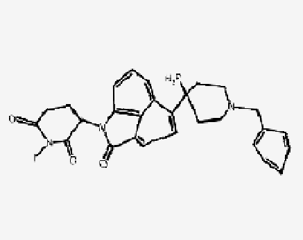 O=C1CCC(N2C(=O)c3ccc(C4(P)CCN(Cc5ccccc5)CC4)c4cccc2c34)C(=O)N1I